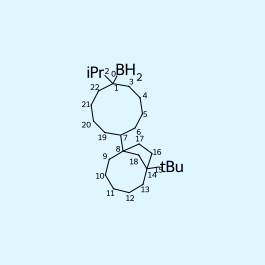 BC1(C(C)C)CCCCC(C23CCCCCC(C(C)(C)C)(CC2)C3)CCCC1